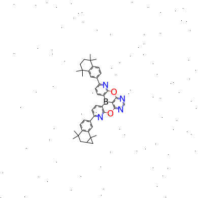 CC1(C)CCC(C)(C)c2cc(-c3ccc4c(n3)Oc3ncnc5c3B4c3ccc(-c4ccc6c(c4)C4(C)CC4CC6(C)C)nc3O5)ccc21